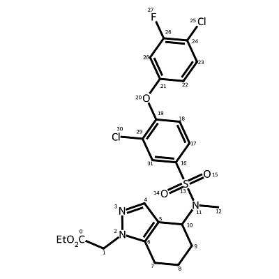 CCOC(=O)Cn1ncc2c1CCCC2N(C)S(=O)(=O)c1ccc(Oc2ccc(Cl)c(F)c2)c(Cl)c1